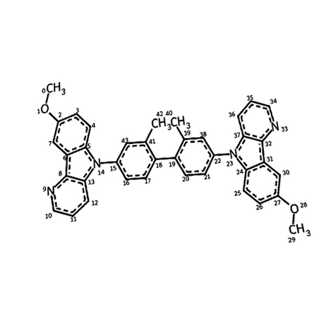 COc1ccc2c(c1)c1ncccc1n2-c1ccc(-c2ccc(-n3c4ccc(OC)cc4c4ncccc43)cc2C)c(C)c1